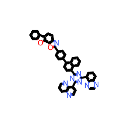 c1cc(-c2nc(-c3ccc(-c4ccc(-c5nc6ccc7c8ccccc8oc7c6o5)cc4)c4ccccc34)nc(-c3ccnc4cccnc34)n2)c2nccnc2c1